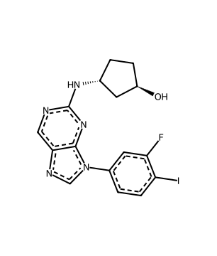 O[C@@H]1CC[C@@H](Nc2ncc3ncn(-c4ccc(I)c(F)c4)c3n2)C1